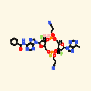 [BH3-][P+]1(OCCC#N)OC[C@H]2O[C@@H](n3cnc4c(C)ncnc43)[C@H](F)[C@@H]2OP(=S)(OCCC#N)OCC2O[C@@H](n3cnc4c(NC(=O)c5ccccc5)ncnc43)[C@H](F)[C@@H]2O1